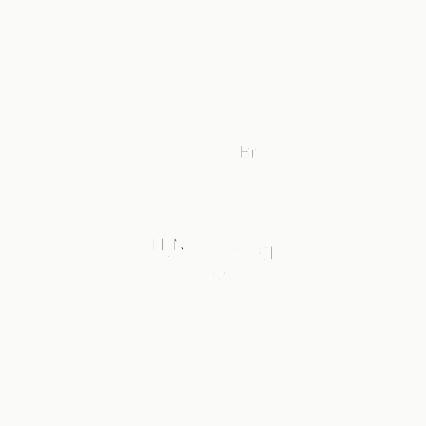 Nc1ccc(Br)cc1C(=O)Cl